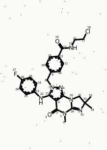 CN1C(=O)c2c(nn(Cc3ccc(C(=O)NCCCl)cc3)c2Nc2ccc(F)cc2)N2CC(C)(C)N=C12